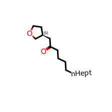 CCCCCCCCCCCC(=O)C[C@@H]1CCOC1